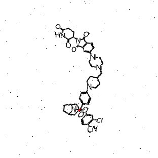 N#Cc1ccc(OC2CC3CCC(C2)N3C(=O)c2ccc(N3CCC(CN4CCN(c5ccc6c(c5)C(=O)N(C5CCC(=O)NC5=O)C6=O)CC4)CC3)cc2)cc1Cl